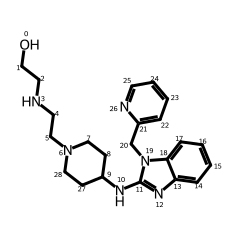 OCCNCCN1CCC(Nc2nc3ccccc3n2Cc2ccccn2)CC1